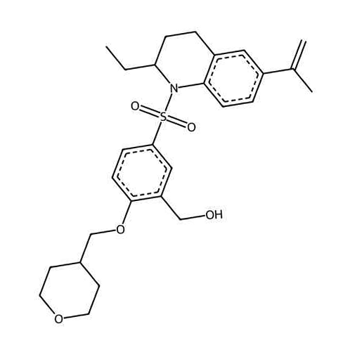 C=C(C)c1ccc2c(c1)CCC(CC)N2S(=O)(=O)c1ccc(OCC2CCOCC2)c(CO)c1